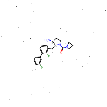 N[C@H]1CCN(C(=O)N2CCC2)[C@H]1Cc1cccc(-c2cccc(F)c2)c1F